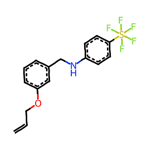 C=CCOc1cccc(CNc2ccc(S(F)(F)(F)(F)F)cc2)c1